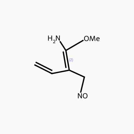 C=C/C(CN=O)=C(\N)OC